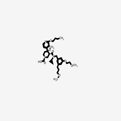 CCCCOc1cc([C@@]2(OC)CCN(C(=O)O)C[C@@H]2C(=O)N(Cc2cc(CCCOC)cc(OCCOC)c2)C2CC2)ccn1